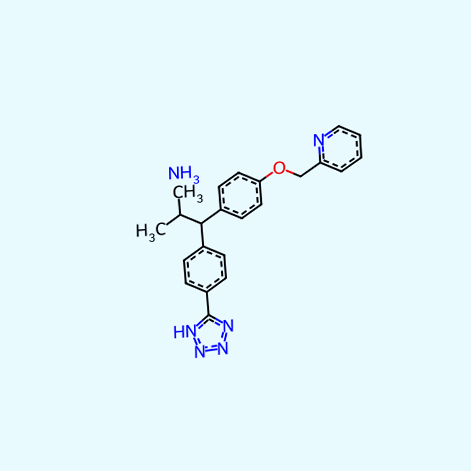 CC(C)C(c1ccc(OCc2ccccn2)cc1)c1ccc(-c2nnn[nH]2)cc1.N